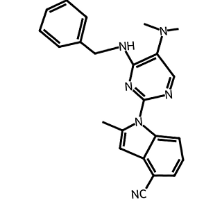 Cc1cc2c(C#N)cccc2n1-c1ncc(N(C)C)c(NCc2ccccc2)n1